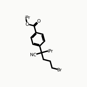 CC(C)OC(=O)c1ccc(C(C#N)(CCCBr)C(C)C)cc1